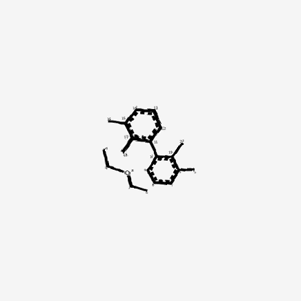 CCOCC.Cc1cccc(-c2cccc(C)c2C)c1C